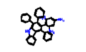 Nc1cc(N)c(-c2c(-c3ccccc3)c(-c3ccccc3)c3[nH]c4ccccc4c3c2-c2ccccc2)c(N)c1